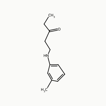 CCC(=O)CCNc1cccc(C)c1